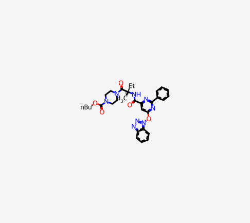 CCCCOC(=O)N1CCN(C(=O)[C@](C)(CC)NC(=O)c2cc(On3nnc4ccccc43)nc(-c3ccccc3)n2)CC1